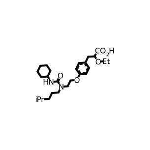 CCOC(Cc1ccc(OCCN(CCCC(C)C)C(=O)NC2CCCCC2)cc1)C(=O)O